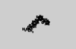 CC(C)(C)OC(=O)Nc1cnc2nc(-c3cc(NC(=O)N4CCCC4)ccc3F)cn2c1